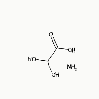 N.O=C(O)C(O)O